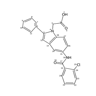 O=C(O)Cn1c(-c2ccccc2)cc2cc(NC(=O)c3ccccc3Cl)ccc21